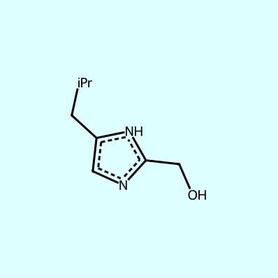 CC(C)Cc1cnc(CO)[nH]1